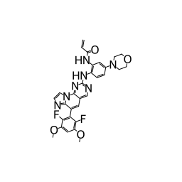 C=CC(=O)Nc1cc(N2CCOCC2)ccc1Nc1ncc2cc(-c3c(F)c(OC)cc(OC)c3F)c3nccn3c2n1